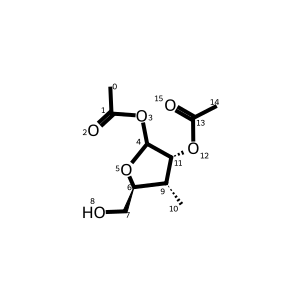 CC(=O)OC1O[C@H](CO)[C@@H](C)[C@H]1OC(C)=O